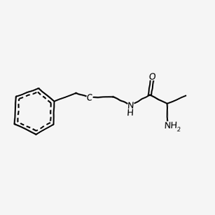 CC(N)C(=O)NCCCc1ccccc1